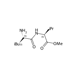 CC[C@H](C)[C@H](N)C(=O)N[C@H](C(=O)OC)C(C)C